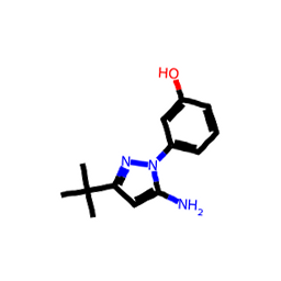 CC(C)(C)c1cc(N)n(-c2cccc(O)c2)n1